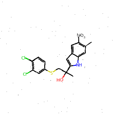 Cc1cc2[nH]c(C(C)(O)CSc3ccc(Cl)c(Cl)c3)cc2cc1[N+](=O)[O-]